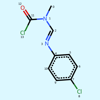 CN(C=Nc1ccc(Cl)cc1)C(=O)Cl